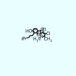 C=C1C(Cl)=C(Cl)C2(Oc3c(ccc(O)c3CCCC(C)C)C2=O)N1C